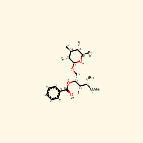 CC[C@@H](C)[C@@H](OC)[C@H](C)[C@@H](CO[C@@H]1O[C@H](CC)[C@@H](C)[C@H](C)[C@H]1C)OC(=O)c1ccccc1